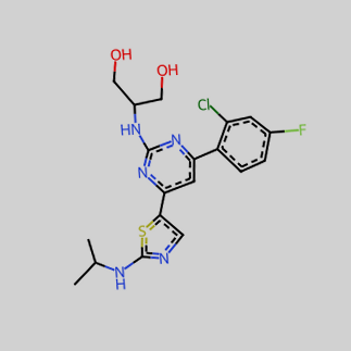 CC(C)Nc1ncc(-c2cc(-c3ccc(F)cc3Cl)nc(NC(CO)CO)n2)s1